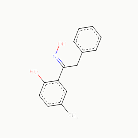 Cc1ccc(O)c(C(Cc2ccccc2)=NO)c1